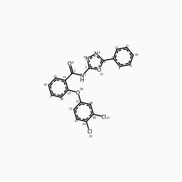 O=C(Nc1nnc(-c2ccccc2)o1)c1ccccc1Oc1ccc(Cl)c(Cl)c1